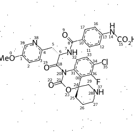 COc1ccc(C[C@H](NC(=O)c2ccc(NC(=O)O)cc2)C(=O)N2C(=O)O[C@]3(CCCNC3)c3c2ccc(Cl)c3F)nc1